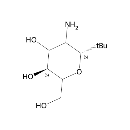 CC(C)(C)[C@@H]1OC(CO)[C@@H](O)C(O)C1N